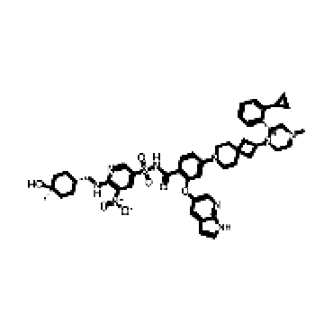 CN1CCN(C2CC3(CCN(c4ccc(C(=O)NS(=O)(=O)c5cnc(NC[C@H]6CC[C@](C)(O)CC6)c([N+](=O)[O-])c5)c(Oc5cnc6[nH]ccc6c5)c4)CC3)C2)[C@H](c2ccccc2C2CC2)C1